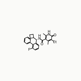 CCc1c(C)c(C(=O)N[C@H](c2cccc(F)c2-c2ccccc2)C2CCC2)c(C)[nH]c1=O